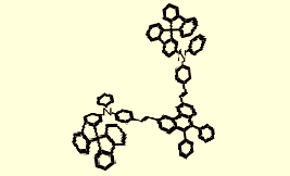 C1=CC2=C(CC1)C1(c3ccccc32)c2ccccc2-c2ccc(N(c3ccccc3)c3ccc(/C=C/c4ccc5c(-c6ccccc6)c(-c6ccccc6)c6ccc(/C=C/c7ccc(N(c8ccccc8)c8ccc9c(c8)C8(c%10ccccc%10-c%10ccccc%108)c8ccccc8-9)cc7)cc6c5c4)cc3)cc21